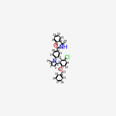 Cc1ccc(-c2cc(Cl)ccc2OCc2ccccc2)n1-c1ccc(C(=O)N[C@H](C)c2ccccc2)cc1